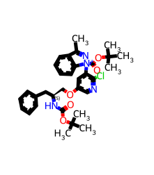 CC1=N[N+](C(=O)OC(C)(C)C)(c2cc(OC[C@H](Cc3ccccc3)NC(=O)OC(C)(C)C)cnc2Cl)c2ccccc21